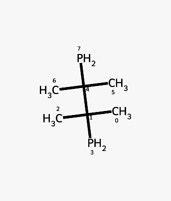 CC(C)(P)C(C)(C)P